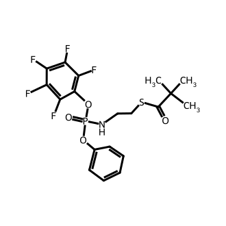 CC(C)(C)C(=O)SCCNP(=O)(Oc1ccccc1)Oc1c(F)c(F)c(F)c(F)c1F